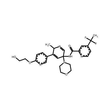 CC1N=CC(NC(=O)c2cc(C(C)(F)F)ccn2)(N2CCOCC2)C=C1c1ccc(OCCO)nc1